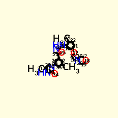 Cc1cc(-c2cnc(Nc3cc(OCCN4CCOCC4)ccc3C)o2)cc(N2CC(C)NC2=O)c1